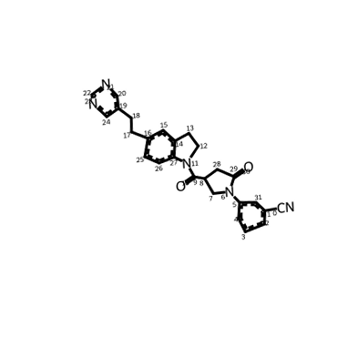 N#Cc1cccc(N2CC(C(=O)N3CCc4cc(CCc5cncnc5)ccc43)CC2=O)c1